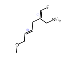 COC/C=C/C/C(=C/F)CN